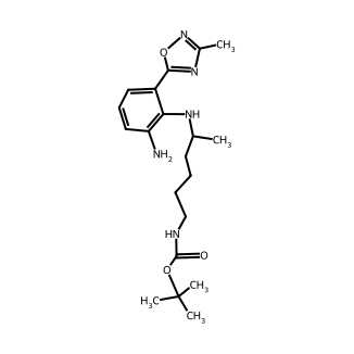 Cc1noc(-c2cccc(N)c2NC(C)CCCCNC(=O)OC(C)(C)C)n1